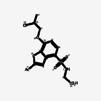 CC(=O)c1cc2c(S(=O)(=O)NCC(=O)O)ccc(OCC(C)Cl)c2o1